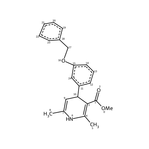 COC(=O)C1=C(C)NC(C)=CC1c1cccc(OCc2ccccc2)c1